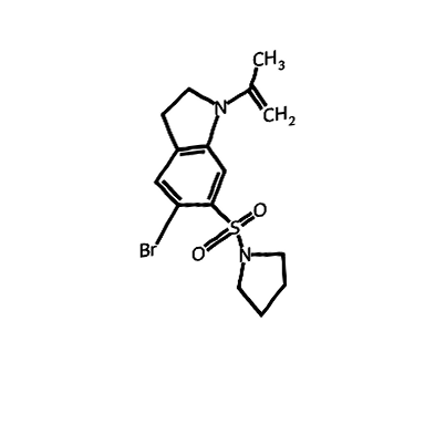 C=C(C)N1CCc2cc(Br)c(S(=O)(=O)N3CCCC3)cc21